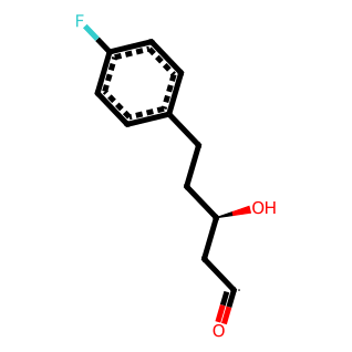 O=[C]C[C@H](O)CCc1ccc(F)cc1